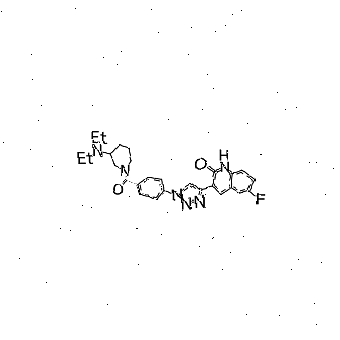 CCN(CC)C1CCCN(C(=O)c2ccc(-n3cc(-c4cc5cc(F)ccc5[nH]c4=O)nn3)cc2)C1